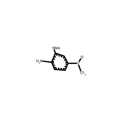 CNc1cc([S+]([O-])C(F)(F)F)ccc1N